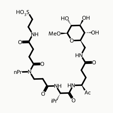 CCCN(CCC(=O)N[C@H](C(=O)N[C@@H](CCC(=O)NC[C@H]1O[C@@H](OC)[C@H](O)[C@@H](O)[C@@H]1O)C(C)=O)C(C)C)C(=O)CCC(=O)NCCS(=O)(=O)O